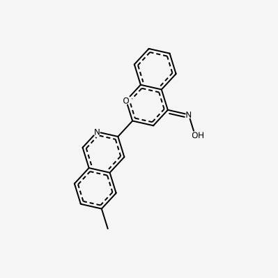 Cc1ccc2cnc(-c3cc(=NO)c4ccccc4o3)cc2c1